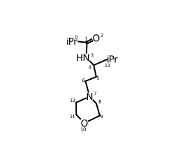 CC(C)C(=O)NC(CCN1CCOCC1)C(C)C